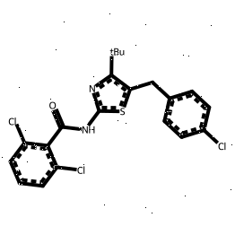 CC(C)(C)c1nc(NC(=O)c2c(Cl)cccc2Cl)sc1Cc1ccc(Cl)cc1